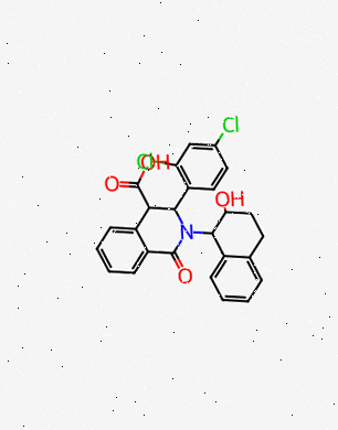 O=C(O)C1c2ccccc2C(=O)N(C2c3ccccc3CCC2O)C1c1ccc(Cl)cc1Cl